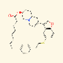 C1=C(c2coc3ccc(SCCc4ccccc4)cc23)CC2CCCCN2C1.CCCCCCCC(=O)O